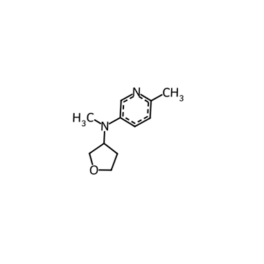 Cc1ccc(N(C)C2CCOC2)cn1